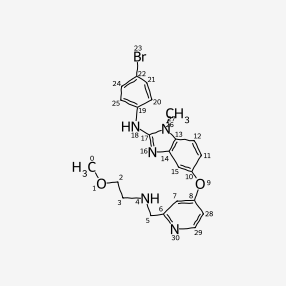 COCCNCc1cc(Oc2ccc3c(c2)nc(Nc2ccc(Br)cc2)n3C)ccn1